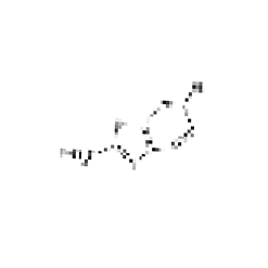 CCOC(=O)c1nc2ccc(CC)cc2s1